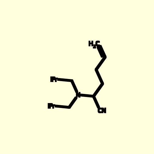 C=CCCC(C#N)N(CC(C)C)CC(C)C